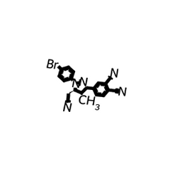 C[C@@H]1C(c2ccc(C#N)c(C#N)c2)=NN(c2ccc(Br)cc2)[C@H]1CC#N